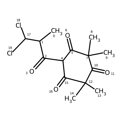 CC(C(=O)C1C(=O)C(C)(C)C(=O)C(C)(C)C1=O)C(Cl)Cl